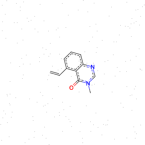 C=Cc1cccc2ncn(C)c(=O)c12